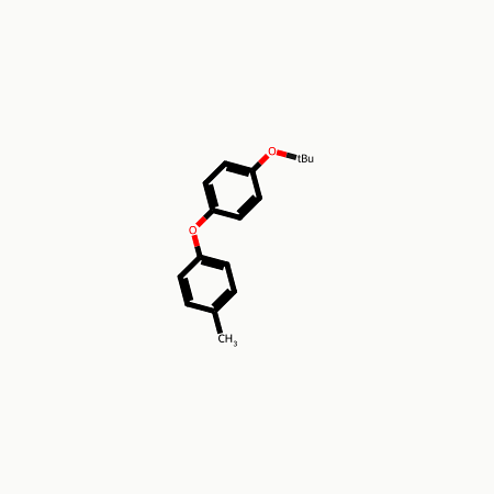 Cc1ccc(Oc2ccc(OC(C)(C)C)cc2)cc1